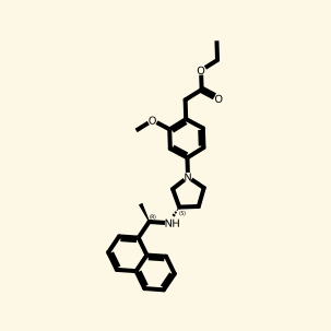 CCOC(=O)Cc1ccc(N2CC[C@H](N[C@H](C)c3cccc4ccccc34)C2)cc1OC